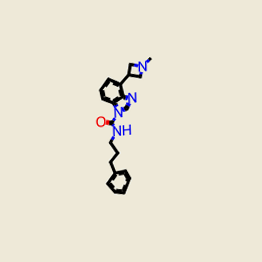 CN1CC(c2cccc3c2ncn3C(=O)NCCCc2ccccc2)C1